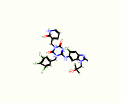 Cc1nc2cc(Cl)c(Nc3nc(=O)n(Cc4ccc[nH]c4=O)c(=O)n3Cc3cc(F)c(F)c(F)c3)cc2n1CC(C)(C)O